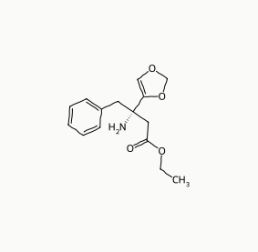 CCOC(=O)C[C@@](N)(Cc1ccccc1)C1=COCO1